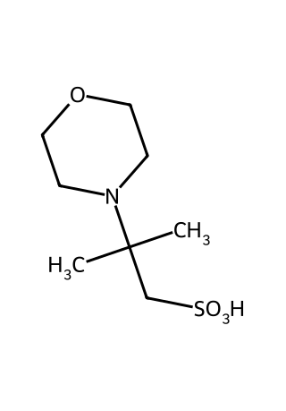 CC(C)(CS(=O)(=O)O)N1CCOCC1